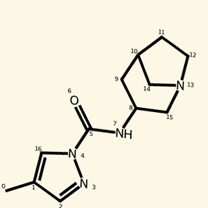 Cc1cnn(C(=O)NC2CC3CCN(C3)C2)c1